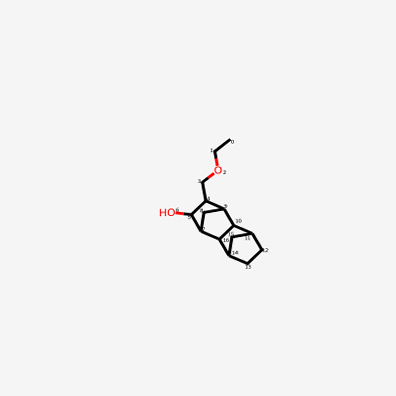 CCOCC1C(O)C2CC1C1C3CCC(C3)C21